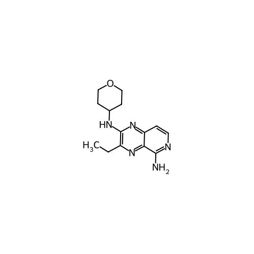 CCc1nc2c(N)nccc2nc1NC1CCOCC1